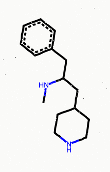 CNC(Cc1ccccc1)CC1CCNCC1